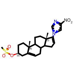 C[C@]12CC[C@H](OS(C)(=O)=O)CC1=CCC1C2CC[C@]2(C)C(n3cnc([N+](=O)[O-])c3)=CCC12